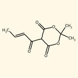 CC=CC(=O)C1C(=O)OC(C)(C)OC1=O